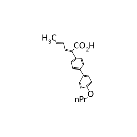 CC=CC=C(C(=O)O)c1ccc(-c2ccc(OCCC)cc2)cc1